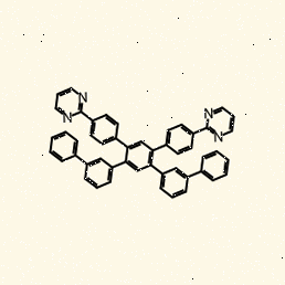 c1ccc(-c2cccc(-c3cc(-c4cccc(-c5ccccc5)c4)c(-c4ccc(-c5ncccn5)cc4)cc3-c3ccc(-c4ncccn4)cc3)c2)cc1